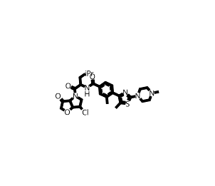 Cc1cc(C(=O)NC(CC(C)C)C(=O)N2CC(Cl)C3OCC(=O)C32)ccc1-c1nc(N2CCN(C)CC2)sc1C